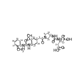 COc1cc(CC(=O)N2CCC(NC(=O)NC(CC(=O)O)CC(=O)O)C2)ccc1NC(=O)Nc1ccccc1C